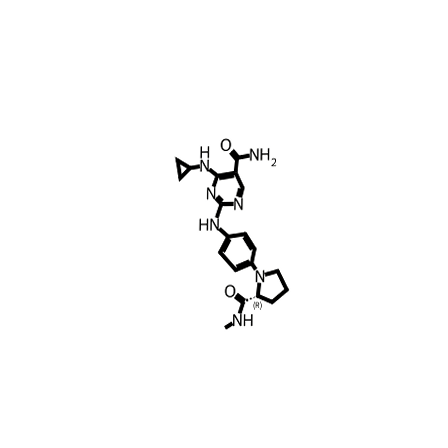 CNC(=O)[C@H]1CCCN1c1ccc(Nc2ncc(C(N)=O)c(NC3CC3)n2)cc1